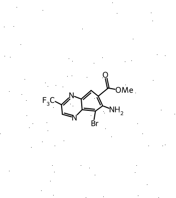 COC(=O)c1cc2nc(C(F)(F)F)cnc2c(Br)c1N